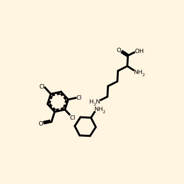 NC1CCCCC1.NCCCCC(N)C(=O)O.O=Cc1cc(Cl)cc(Cl)c1Cl